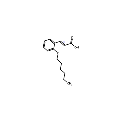 CCCCCCOc1ccccc1/C=C/C(=O)O